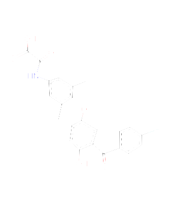 Cc1cc(NC(=O)C(=O)O)cc(C)c1Oc1ccc(O)c(C(=O)c2ccc(F)cc2)c1